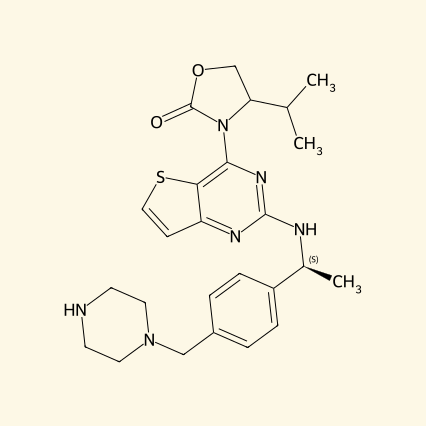 CC(C)C1COC(=O)N1c1nc(N[C@@H](C)c2ccc(CN3CCNCC3)cc2)nc2ccsc12